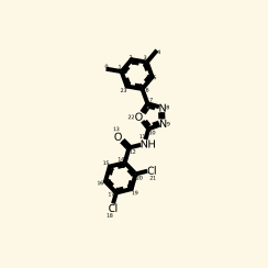 Cc1cc(C)cc(-c2nnc(NC(=O)c3ccc(Cl)cc3Cl)o2)c1